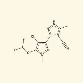 Cc1[nH]nc(-c2nn(C)c(OC(F)F)c2Cl)c1C#N